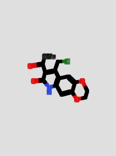 COC(=O)c1c(CCl)c2cc3c(cc2[nH]c1=O)OCCO3